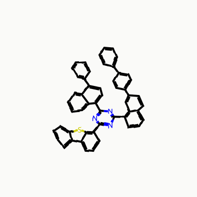 c1ccc(-c2ccc(-c3ccc4cccc(-c5nc(-c6ccc(-c7ccccc7)c7ccccc67)nc(-c6cccc7c6sc6ccccc67)n5)c4c3)cc2)cc1